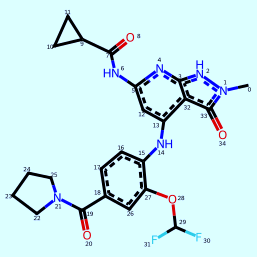 Cn1[nH]c2nc(NC(=O)C3CC3)cc(Nc3ccc(C(=O)N4CCCC4)cc3OC(F)F)c2c1=O